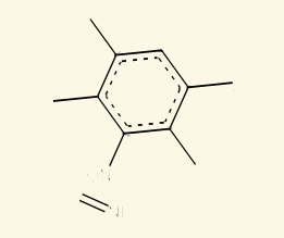 Cc1cc(C)c(C)c(N=O)c1C.N=O